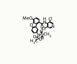 COc1ccc(C(=O)Nc2c(Cl)cncc2Cl)c2c1oc1ccc(N(S(C)(=O)=O)S(C)(=O)=O)cc12